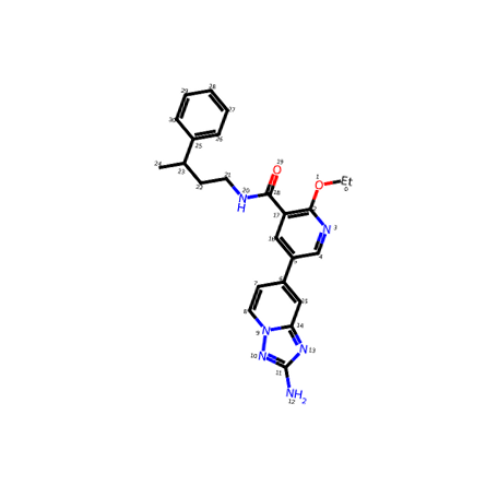 CCOc1ncc(-c2ccn3nc(N)nc3c2)cc1C(=O)NCCC(C)c1ccccc1